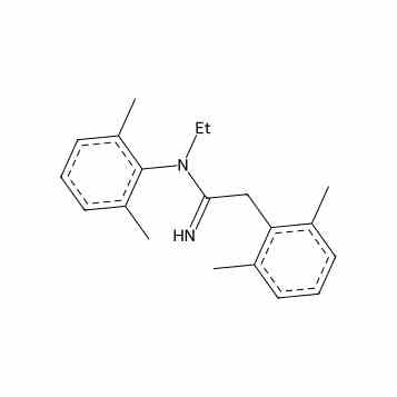 CCN(C(=N)Cc1c(C)cccc1C)c1c(C)cccc1C